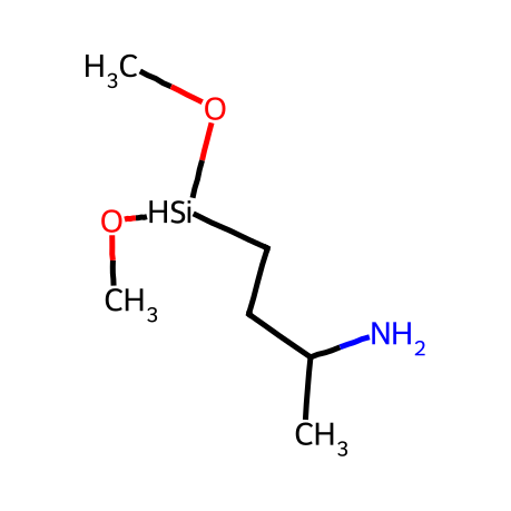 CO[SiH](CCC(C)N)OC